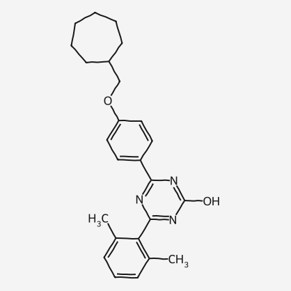 Cc1cccc(C)c1-c1nc(O)nc(-c2ccc(OCC3CCCCCC3)cc2)n1